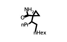 CCCCCCCC(CCC)C1(C(N)=O)CC1